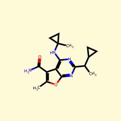 Cc1oc2nc(C(C)C3CC3)nc(NC3(C)CC3)c2c1C(N)=O